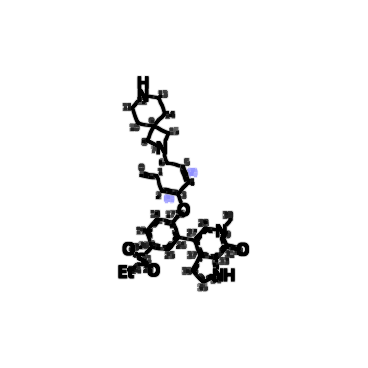 C=C/C=C(\C=C/CN1CC2(CCNCC2)C1)Oc1ccc(S(=O)(=O)CC)cc1-c1cn(C)c(=O)c2[nH]ccc12